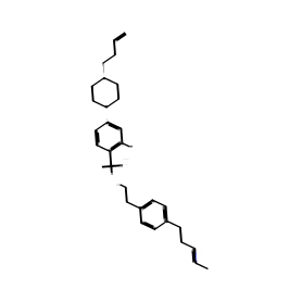 C=CCC[C@H]1CC[C@H](c2ccc(C(F)(F)OCCc3ccc(CC/C=C/C)cc3)c(F)c2)CC1